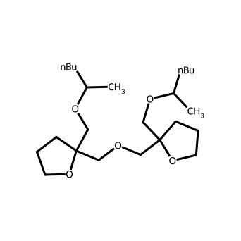 CCCCC(C)OCC1(COCC2(COC(C)CCCC)CCCO2)CCCO1